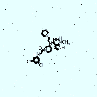 CNc1[nH]ccc1C(=N)N(CCN1CCCCC1)C1CCCN(C(=O)CNc2cc(Cl)cc(Cl)c2)C1